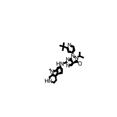 CC(C)n1c(=O)c2cnc(Nc3ccc4c5c(n(C)c4c3)CNCC5)nc2n1-c1ccnc(C(C)(C)C)c1